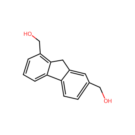 OCc1ccc2c(c1)Cc1c(CO)cccc1-2